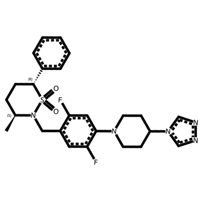 C[C@H]1CC[C@H](c2ccccc2)S(=O)(=O)N1Cc1cc(F)c(N2CCC(n3cnnc3)CC2)cc1F